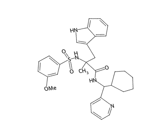 COc1cccc(S(=O)(=O)NC(C)(Cc2c[nH]c3ccccc23)C(=O)NC(c2ccccn2)C2CCCCC2)c1